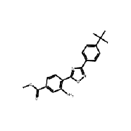 COC(=O)c1ccc(-c2nc(-c3ccc(C(C)(C)C)cc3)no2)c(N)c1